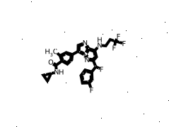 Cc1cc(-c2cnc3c(NCCC(F)(F)F)cc(C(F)c4cccc(F)c4)nn23)ccc1C(=O)NC1CC1